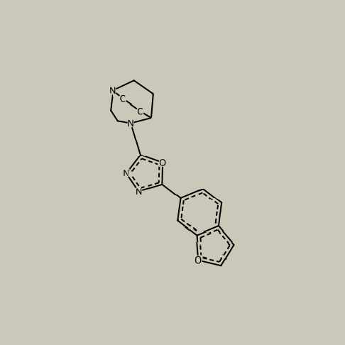 c1cc2ccc(-c3nnc(N4CCN5CCC4CC5)o3)cc2o1